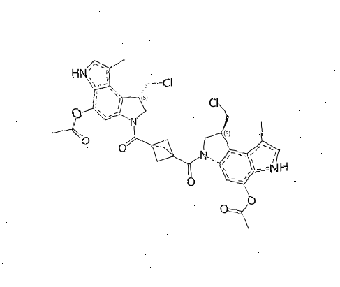 CC(=O)Oc1cc2c(c3c(C)c[nH]c13)[C@H](CCl)CN2C(=O)C12CC(C(=O)N3C[C@@H](CCl)c4c3cc(OC(C)=O)c3[nH]cc(C)c43)(C1)C2